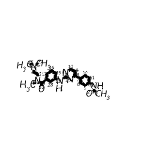 CC(=O)Nc1ccc(-c2ccnc(Nc3cccc(C(=O)N(C)CCN(C)C)c3)n2)cc1